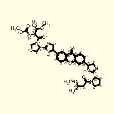 COC(=O)N[C@H](C(=O)N1CSC[C@H]1C1=NCC(c2ccc3oc4cc(C5CN=C([C@@H]6CCCN6C(=O)C[C@@H](C)OC)N5)ccc4c(=O)c3c2)N1)[C@@H](C)OC